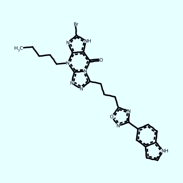 CCCCCn1c2nc(Br)[nH]c2c(=O)n2c(CCCc3nc(-c4ccc5[nH]ccc5c4)no3)nnc12